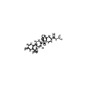 CC(C)CNc1ccc(S(=O)(=O)N2CCN(c3ccc(F)cc3C(F)(F)F)C[C@H]2C)c(Cl)c1